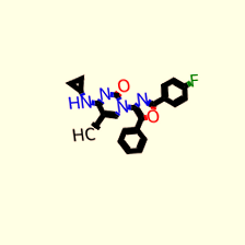 C#Cc1cn(-c2nc(-c3ccc(F)cc3)oc2-c2ccccc2)c(=O)nc1NC1CC1